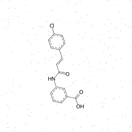 O=C(C=Cc1ccc(Cl)cc1)Nc1cccc(C(=O)O)c1